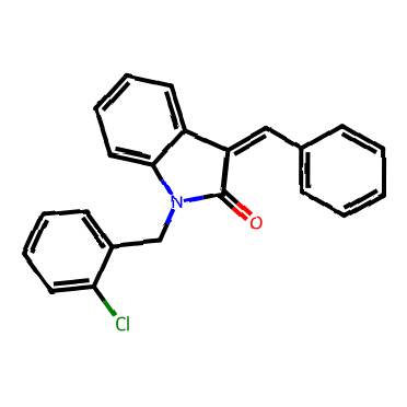 O=C1C(=Cc2ccccc2)c2ccccc2N1Cc1ccccc1Cl